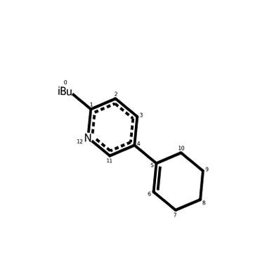 CCC(C)c1ccc(C2=CCCCC2)cn1